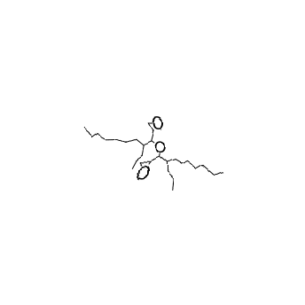 CCCCCCCC(CCC)C(OC(C(CCC)CCCCCCC)C1CO1)C1CO1